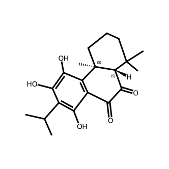 CC(C)c1c(O)c(O)c2c(c1O)C(=O)C(=O)[C@H]1C(C)(C)CCC[C@]21C